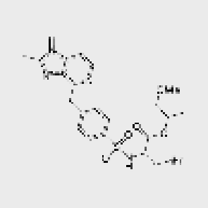 COCC(C)OC(=O)[C@H](CC(C)C)NS(=O)(=O)c1ccc(Cc2nccc3[nH]c(C)nc23)cc1